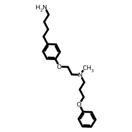 CN(CCCOc1ccccc1)CCOc1ccc(CCCCN)cc1